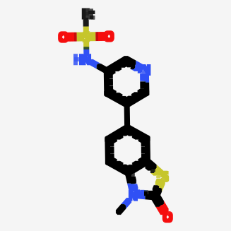 CCS(=O)(=O)Nc1cncc(-c2ccc3c(c2)sc(=O)n3C)c1